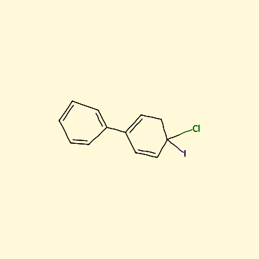 ClC1(I)C=CC(c2ccccc2)=CC1